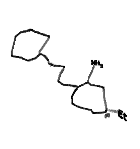 CC[C@@H]1CCC(CCC2CCCCC2)C(N)C1